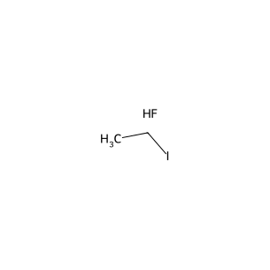 CCI.F